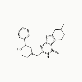 CCN(Cc1nc2sc3c(c2c(=O)[nH]1)CCC(C)C3)CC(O)c1ccccc1